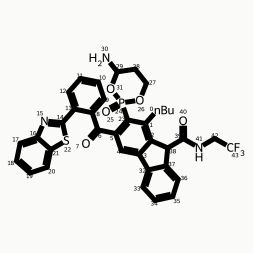 CCCCc1c2c(cc(C(=O)c3ccccc3-c3nc4ccccc4s3)c1P1(=O)OCCC(N)O1)-c1ccccc1C2C(=O)NCC(F)(F)F